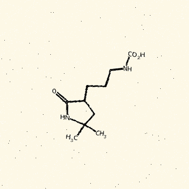 CC1(C)CC(CCCNC(=O)O)C(=O)N1